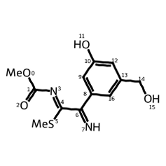 COC(=O)N=C(SC)C(=N)c1cc(O)cc(CO)c1